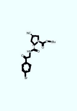 CC(C)(C)OC(=O)N1C[C@H](C#N)C[C@H]1C(=O)NCC(=O)c1ccc(Br)cc1